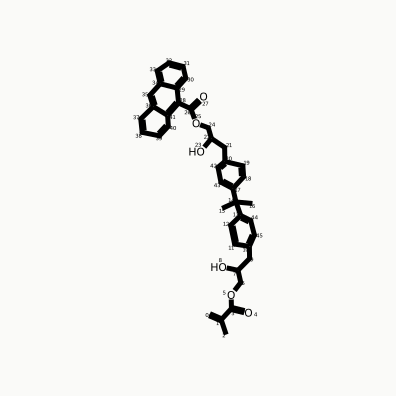 C=C(C)C(=O)OCC(O)Cc1ccc(C(C)(C)c2ccc(CC(O)COC(=O)c3c4ccccc4cc4ccccc34)cc2)cc1